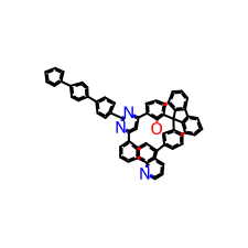 c1ccc(-c2ccc(-c3ccc(-c4nc(-c5ccccc5)cc(-c5cccc6c5Oc5c(-c7cccc8ncccc78)cccc5C65c6ccccc6-c6ccccc65)n4)cc3)cc2)cc1